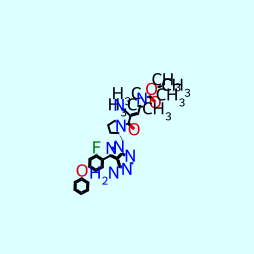 CN(C(=O)OC(C)(C)C)C(C)(C)C=C(C#N)C(=O)N1CCC[C@H]1Cn1nc(-c2ccc(Oc3ccccc3)cc2F)c2c(N)ncnc21